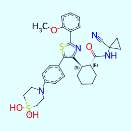 COc1ccccc1-c1nc([C@@H]2CCCC[C@H]2C(=O)NC2(C#N)CC2)c(-c2ccc(N3CCS(O)(O)CC3)cc2)s1